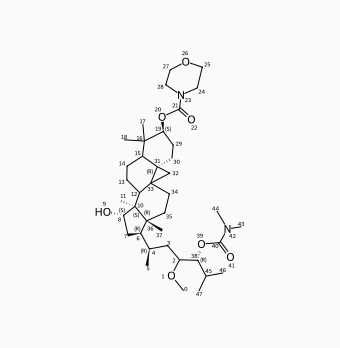 COC(C[C@@H](C)[C@H]1C[C@H](O)[C@@]2(C)C3CCC4C(C)(C)[C@@H](OC(=O)N5CCOCC5)CC[C@@]45CC35CC[C@]12C)[C@H](OC(=O)N(C)C)C(C)C